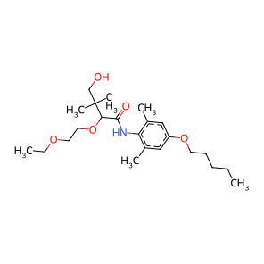 CCCCCOc1cc(C)c(NC(=O)C(OCCOCC)C(C)(C)CO)c(C)c1